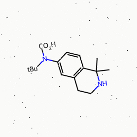 CC1(C)NCCc2cc(N(C(=O)O)C(C)(C)C)ccc21